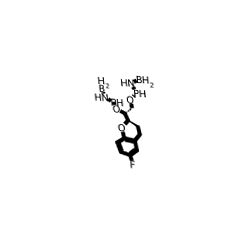 BNPOC[C@@H](OPNB)[C@H]1CCc2cc(F)ccc2O1